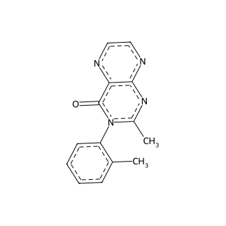 Cc1ccccc1-n1c(C)nc2nccnc2c1=O